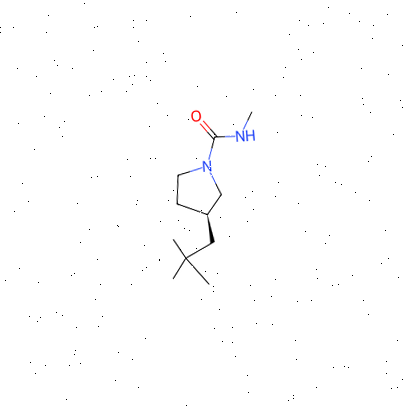 CNC(=O)N1CC[C@H](CC(C)(C)C)C1